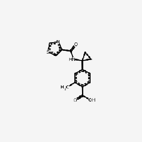 Cc1cc(C2(NC(=O)c3cscn3)CC2)ccc1C(=O)O